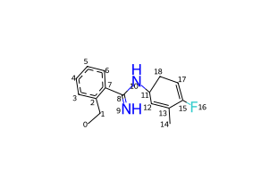 CCc1ccccc1C(=N)NC1C=C(C)C(F)=CC1